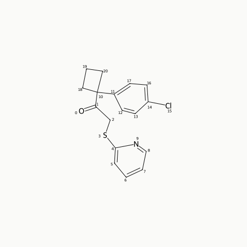 O=C(CSc1ccccn1)C1(c2ccc(Cl)cc2)CCC1